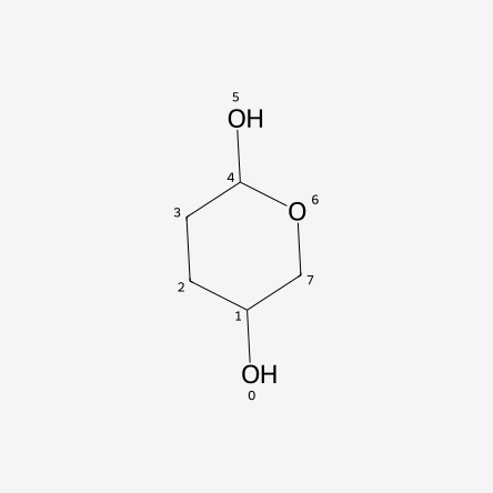 OC1CCC(O)OC1